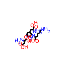 NCCCC[C@H](N)C(=O)O.N[C@@H](CC(=O)O)C(=O)O.N[C@@H](Cc1ccccc1)C(=O)O